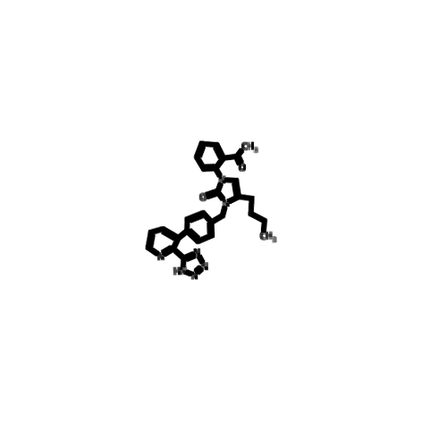 CCCCc1cn(-c2ccccc2C(C)=O)c(=O)n1Cc1ccc(-c2cccnc2-c2nnn[nH]2)cc1